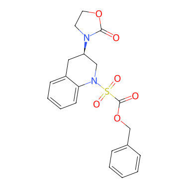 O=C1OCCN1[C@@H]1Cc2ccccc2N(S(=O)(=O)C(=O)OCc2ccccc2)C1